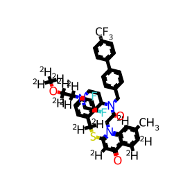 [2H]c1c(C)c([2H])c2c(c1[2H])c(=O)c([2H])c(SC([2H])([2H])c1cccc(F)c1F)n2CC(=O)N(Cc1ccc(-c2ccc(C(F)(F)F)cc2)cc1)C1CCN(C([2H])([2H])C([2H])([2H])OC([2H])([2H])[2H])CC1